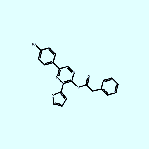 O=C(Cc1ccccc1)Nc1ncc(-c2ccc(O)cc2)nc1-c1cccs1